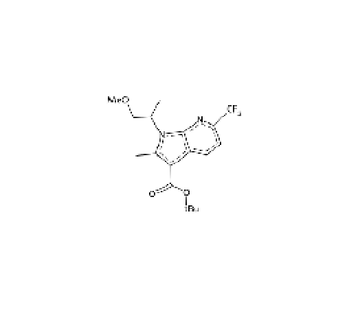 COCC(C)n1c(C)c(C(=O)OC(C)(C)C)c2ccc(C(F)(F)F)nc21